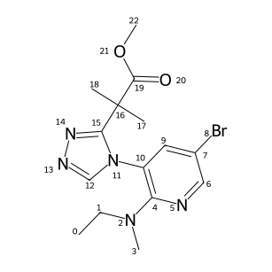 CCN(C)c1ncc(Br)cc1-n1cnnc1C(C)(C)C(=O)OC